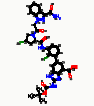 CC(C)(C)OC(=O)Nc1nc2c(C(=O)O)cc(-c3cccc(NC(=O)[C@@H]4C[C@@H](F)CN4C(=O)Cn4nc(C(N)=O)c5ccccc54)c3F)cc2[nH]1